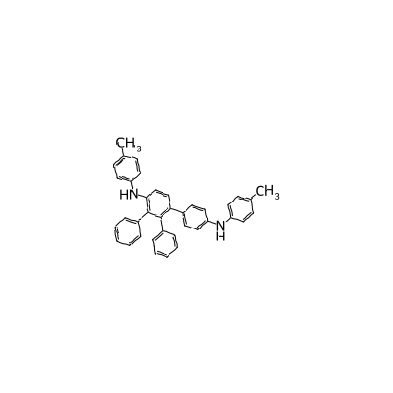 Cc1ccc(Nc2ccc(-c3ccc(Nc4ccc(C)cc4)c(-c4ccccc4)c3-c3ccccc3)cc2)cc1